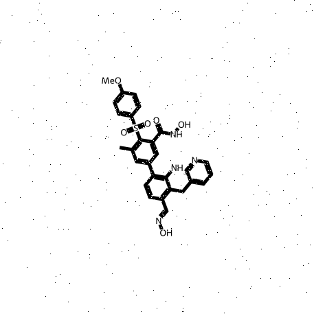 COc1ccc(S(=O)(=O)c2c(C)cc(-c3ccc(C=NO)c(Cc4cccnc4)c3N)cc2C(=O)NO)cc1